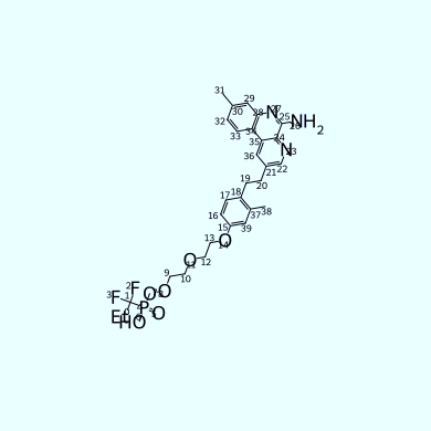 CCC(F)(F)P(=O)(O)OOCCOCCOc1ccc(CCc2cnc3c(N)nc4cc(C)ccc4c3c2)c(C)c1